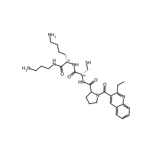 CCc1nc2ccccc2cc1C(=O)N1CCCC1C(=O)N[C@@H](CS)C(=O)N[C@@H](CCCCN)C(=O)NCCCN